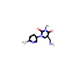 CC(C)n1c(=O)c(CN)cn(-c2ccc(C(F)(F)F)nc2)c1=O